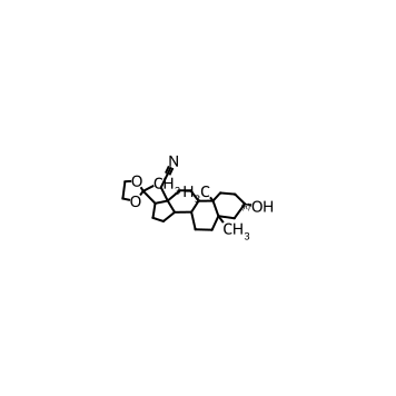 CC1(C2CCC3C4CCC5(C)C[C@H](O)CCC5(C)C4CCC32CC#N)OCCO1